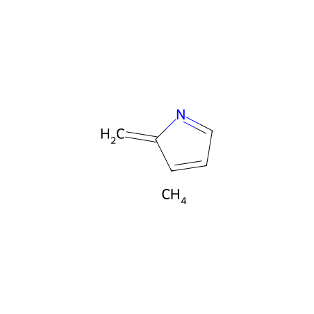 C.C=C1C=CC=N1